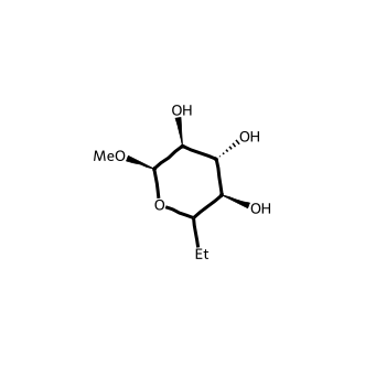 CCC1O[C@@H](OC)[C@@H](O)[C@H](O)[C@H]1O